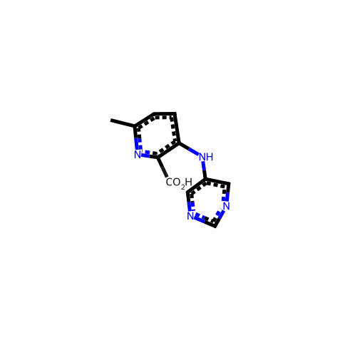 Cc1ccc(Nc2cncnc2)c(C(=O)O)n1